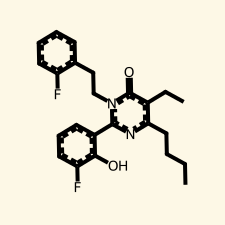 CCCCc1nc(-c2cccc(F)c2O)n(CCc2ccccc2F)c(=O)c1CC